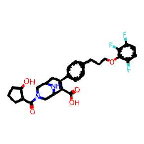 O=C(O)C1=C(c2ccc(CCCOc3c(F)ccc(F)c3F)cc2)CC2CN(C(=O)C3CCCC3O)CC1N2